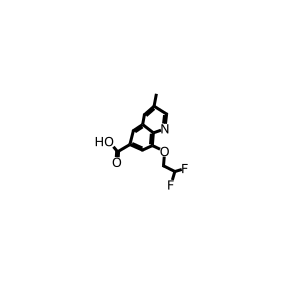 Cc1cnc2c(OCC(F)F)cc(C(=O)O)cc2c1